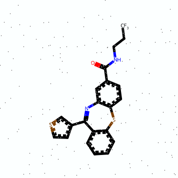 O=C(NCCC(F)(F)F)c1ccc2c(c1)N=C(c1ccsc1)c1ccccc1S2